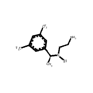 CCN(CCN)[C@@H](C)c1cc(C(F)(F)F)cc(C(F)(F)F)c1